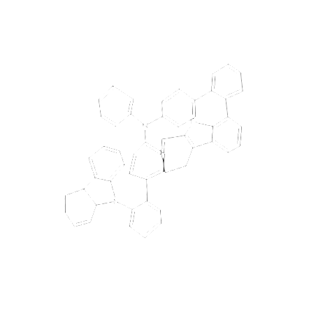 C1=Cc2oc3c(-c4ccccc4-c4ccc(N(c5ccccc5)c5ccc(-c6ccccc6N6c7ccccc7C7CCC=CC76)cc5)cc4)cccc3c2CC1